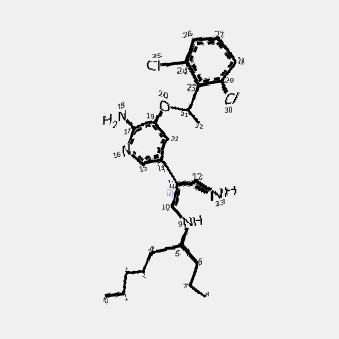 CCCCCC(CCC)N/C=C(\C=N)c1cnc(N)c(OC(C)c2c(Cl)cccc2Cl)c1